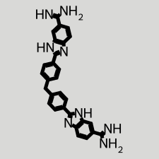 N=C(N)c1ccc2nc(-c3ccc(Cc4ccc(-c5nc6ccc(C(=N)N)cc6[nH]5)cc4)cc3)[nH]c2c1